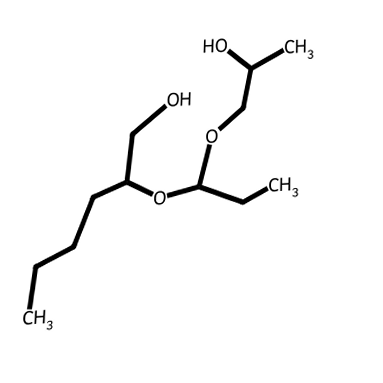 CCCCC(CO)OC(CC)OCC(C)O